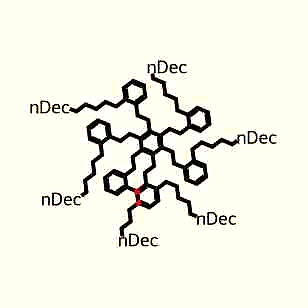 CCCCCCCCCCCCCCCc1ccccc1CCc1c(CCc2ccccc2CCCCCCCCCCCCCCC)c(CCc2ccccc2CCCCCCCCCCCCCCC)c(CCc2ccccc2CCCCCCCCCCCCCCC)c(CCc2ccccc2CCCCCCCCCCCCCCC)c1CCc1ccccc1CCCCCCCCCCCCCCC